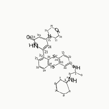 CC(CNC1CCCCC1)Nc1ccc2c(c1)Sc1cccc(-c3cc(N4CCOCC4)cc(=O)[nH]3)c1S2